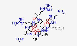 CC(C)C[C@H](NC(=O)[C@H](CC(C)C)NC(=O)[C@H](CCCCN)NC(=O)[C@H](CCCNC(=N)N)NC(=O)[C@@H]1CCCN1C(=O)[C@@H](C)CCCNC(=N)N)C(=O)N[C@@H](C)C(=O)N[C@@H](CCC(=O)O)C(=O)N[C@@H](CCCCN)C(N)=O